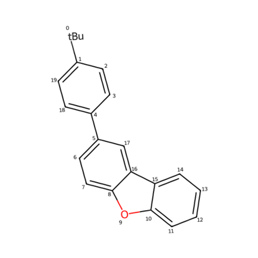 CC(C)(C)c1ccc(-c2ccc3oc4ccccc4c3c2)cc1